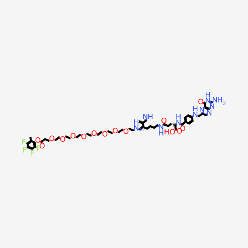 C=C(C=N)/C(=C\NCCOCCOCCOCCOCCOCCOCCOCCOCCC(=O)Oc1c(C)c(F)c(F)c(F)c1F)CCCCNC(=O)CC[C@H](NC(=O)c1ccc(NCc2cnc3nc(N)[nH]c(=O)c3n2)cc1)C(=O)O